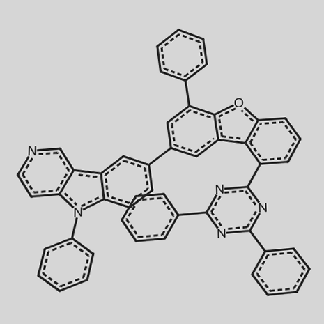 c1ccc(-c2nc(-c3ccccc3)nc(-c3cccc4oc5c(-c6ccccc6)cc(-c6ccc7c(c6)c6cnccc6n7-c6ccccc6)cc5c34)n2)cc1